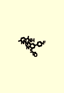 Cc1ccc(C(C)Nc2ncnc3c(SC4COC4)cc(-c4ccc(F)cc4)cc23)nn1